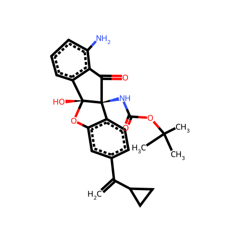 C=C(c1ccc2c(c1)O[C@]1(O)c3cccc(N)c3C(=O)[C@]21NC(=O)OC(C)(C)C)C1CC1